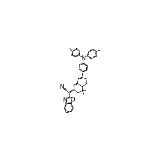 Cc1ccc(N(c2ccc(C)cc2)c2ccc(C3=CC4=C/C(=C(\C#N)c5nc6ccccc6o5)CC(C)(C)C4CC3)cc2)cc1